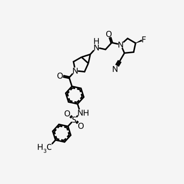 Cc1ccc(S(=O)(=O)Nc2ccc(C(=O)N3CC4C(C3)C4NCC(=O)N3C[C@@H](F)CC3C#N)cc2)cc1